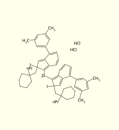 CCCC1(CC2(I)C=c3c(-c4cc(C)cc(C)c4)cccc3=[C]2[Zr][C]2=c3cccc(-c4cc(C)cc(C)c4)c3=CC2(I)CC2(CCC)CCCCC2)CCCCC1.Cl.Cl